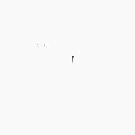 CNC(=O)C[C@]1(O)/C=C/CCCCC1